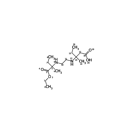 CCOC(=O)C(C)(CC)NCCNC(C)(CC)CC(=O)O